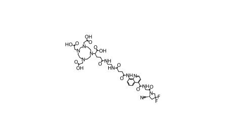 N#C[C@@H]1CC(F)(F)CN1C(=O)CNC(=O)c1ccnc2c(NC(=O)CCC(=O)NCCNC(=O)CCC(C(=O)O)N3CCN(CC(=O)O)CCN(CC(=O)O)CN(CC(=O)O)CC3)cccc12